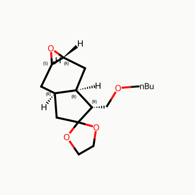 CCCCOC[C@H]1[C@@H]2C[C@H]3O[C@H]3C[C@@H]2CC12OCCO2